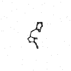 O=C1NC(Cc2ccco2)CO1